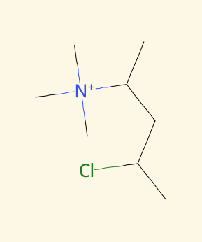 CC(Cl)CC(C)[N+](C)(C)C